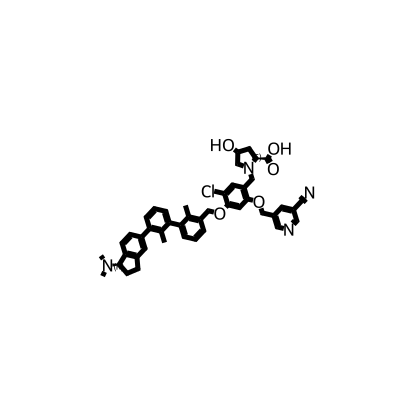 Cc1c(COc2cc(OCc3cncc(C#N)c3)c(CN3CC(O)C[C@H]3C(=O)O)cc2Cl)cccc1-c1cccc(-c2ccc3c(c2)CC[C@H]3N(C)C)c1C